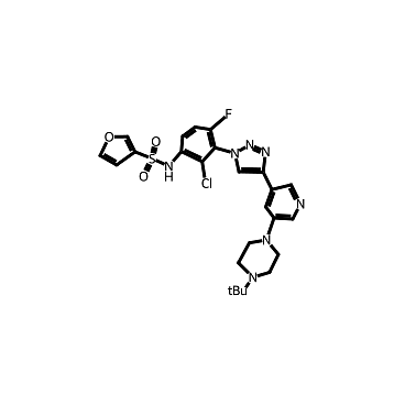 CC(C)(C)N1CCN(c2cncc(-c3cn(-c4c(F)ccc(NS(=O)(=O)c5ccoc5)c4Cl)nn3)c2)CC1